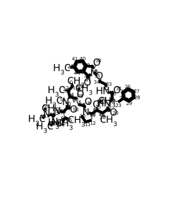 CC[C@H](C)[C@@H]([C@@H](CC(=O)N1CCC[C@H]1[C@H](OC)[C@@H](C)C(=O)N[C@@H](Cc1ccccc1)C(=O)NCCON1C(=O)c2ccc(C)cc2C1=O)OC)N(C)C(=O)[C@@H](N=C(N(C)C)N(C)C)C(C)C